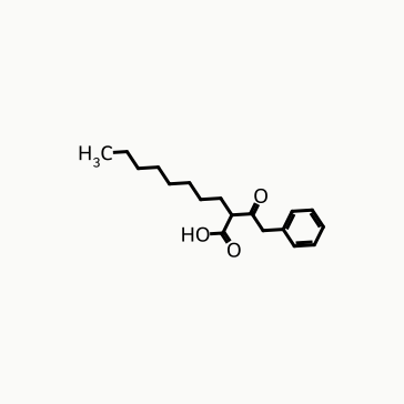 CCCCCCCCC(C(=O)O)C(=O)Cc1ccccc1